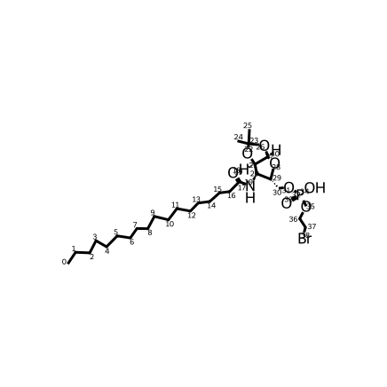 CCCCCCCCCCCCCCCCCC(=O)N[C@H]1[C@H]2OC(C)(C)O[C@H]2O[C@@H]1COP(=O)(O)OCCBr